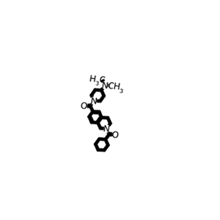 CN(C)C1CCN(C(=O)c2ccc3c(c2)CCN(C(=O)C2CCCCC2)C3)CC1